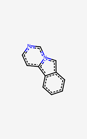 c1ccc2c(c1)cn1cnccc21